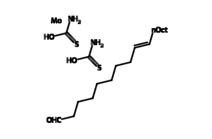 CCCCCCCCC=CCCCCCCCC=O.NC(O)=S.NC(O)=S.[Mo]